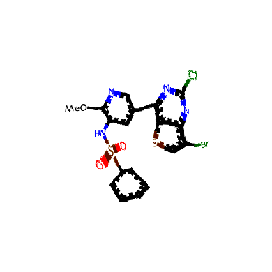 COc1ncc(-c2nc(Cl)nc3c(Br)csc23)cc1NS(=O)(=O)c1ccccc1